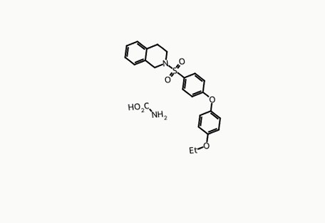 CCOc1ccc(Oc2ccc(S(=O)(=O)N3CCc4ccccc4C3)cc2)cc1.NC(=O)O